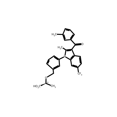 Cc1cccc(C(=O)c2c(C)n(-c3cccc(CO[C@@H](C)C(=O)O)c3)c3cc(C(F)(F)F)ccc23)c1